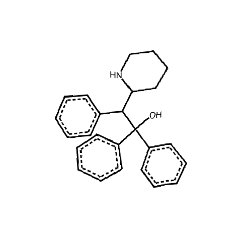 OC(c1ccccc1)(c1ccccc1)C(c1ccccc1)C1CCCCN1